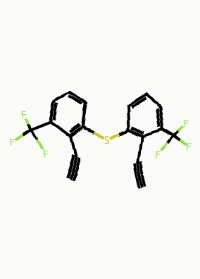 C#Cc1c(Sc2cccc(C(F)(F)F)c2C#C)cccc1C(F)(F)F